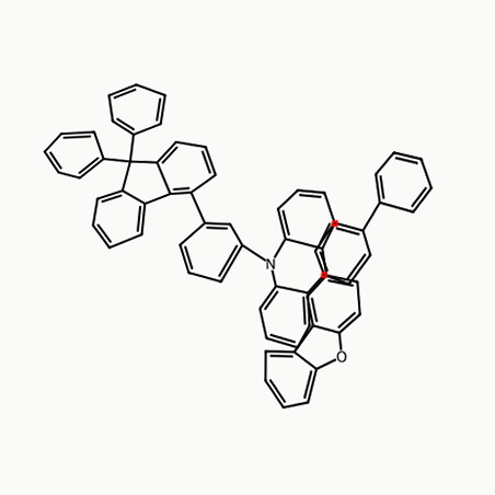 c1ccc(-c2ccc(-c3ccccc3N(c3cccc(-c4cccc5c4-c4ccccc4C5(c4ccccc4)c4ccccc4)c3)c3ccccc3-c3ccc4oc5ccccc5c4c3)cc2)cc1